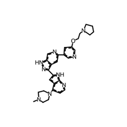 CN1CCN(c2ccnc3[nH]c(-c4n[nH]c5cnc(-c6cncc(OCCN7CCCC7)c6)cc45)cc23)CC1